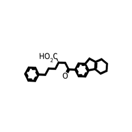 O=C(C[C@H](CCCc1ccccc1)C(=O)O)c1ccc2c(c1)CC1=C2CCCC1